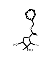 CC(C)(C)C1N(C(=O)OCc2ccccc2)CC(O)[C@]1(C)C(=O)O